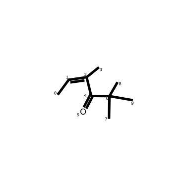 C/C=C(/C)C(=O)C(C)(C)C